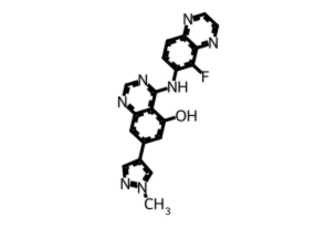 Cn1cc(-c2cc(O)c3c(Nc4ccc5nccnc5c4F)ncnc3c2)cn1